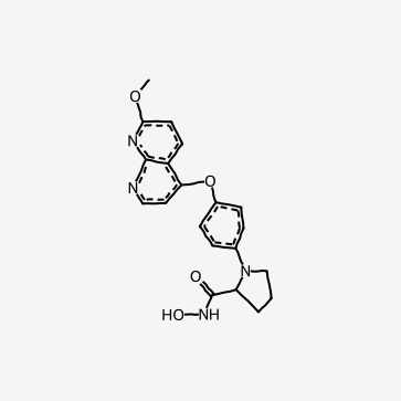 COc1ccc2c(Oc3ccc(N4CCCC4C(=O)NO)cc3)ccnc2n1